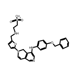 CS(=O)(=O)CCNCc1ccc(N2C=Cc3cncc(Nc4ccc(OCc5ccccc5)cc4)c3C2)o1